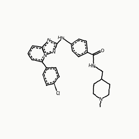 CN1CCC(CNC(=O)c2ccc(Nc3nc4cccc(-c5ccc(Cl)cc5)n4n3)cc2)CC1